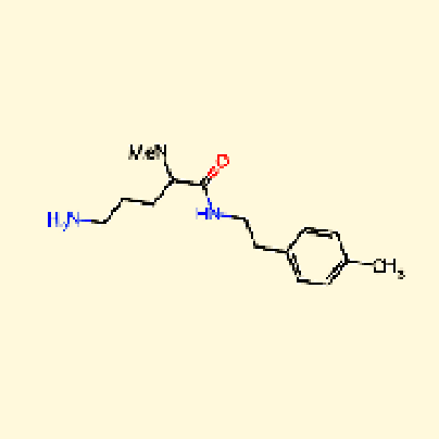 CNC(CCCN)C(=O)NCCc1ccc(C)cc1